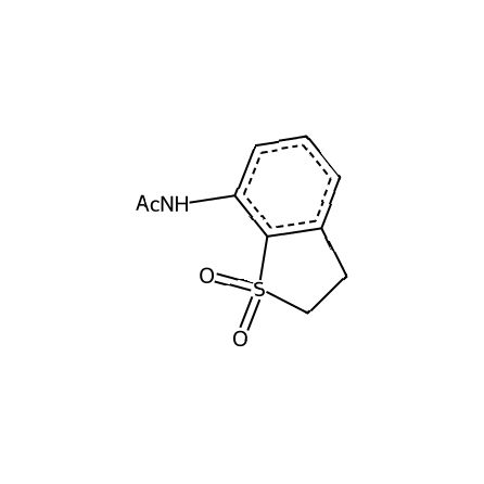 CC(=O)Nc1cccc2c1S(=O)(=O)CC2